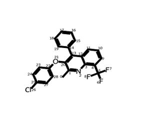 Cc1nc2c(C(F)(F)F)cccc2c(-c2ccccc2)c1Oc1ccc(Cl)cc1